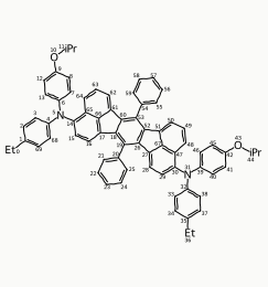 CCc1ccc(N(c2ccc(OC(C)C)cc2)c2ccc3c4c(-c5ccccc5)c5c6ccc(N(c7ccc(CC)cc7)c7ccc(OC(C)C)cc7)c7cccc(c5c(-c5ccccc5)c4c4cccc2c43)c76)cc1